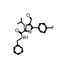 CC(C)n1c(C(=O)NCc2ccccc2)nc(-c2ccc(F)cc2)c1C=O